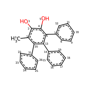 Cc1c(O)c(O)c(-c2ccccc2)c(-c2ccccc2)c1-c1ccccc1